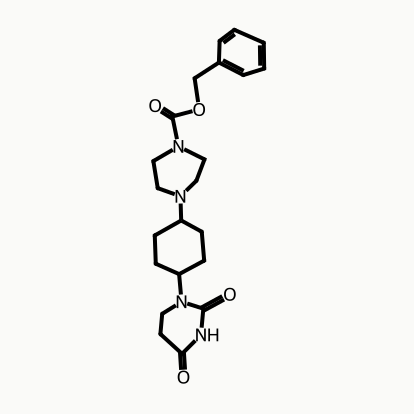 O=C1CCN(C2CCC(N3CCN(C(=O)OCc4ccccc4)CC3)CC2)C(=O)N1